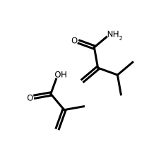 C=C(C(N)=O)C(C)C.C=C(C)C(=O)O